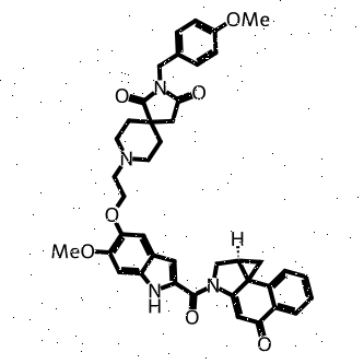 COc1ccc(CN2C(=O)CC3(CCN(CCOc4cc5cc(C(=O)N6C[C@H]7CC78C6=CC(=O)c6ccccc68)[nH]c5cc4OC)CC3)C2=O)cc1